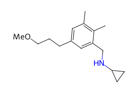 COCCCc1cc(C)c(C)c(CNC2CC2)c1